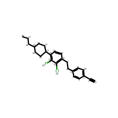 C#Cc1ccc(CCc2ccc(C3CCC(CCC)CC3)c(F)c2Cl)cc1